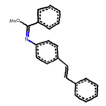 COC(=Nc1ccc(C=Cc2ccccc2)cc1)c1ccccc1